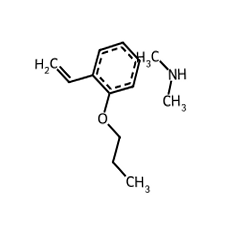 C=Cc1ccccc1OCCC.CNC